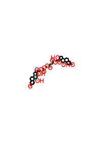 C[C@@H]1CC2C3CCC4=CC(=O)C=C[C@]4(C)[C@@]3(F)[C@@H](O)C[C@]2(C)[C@@]1(O)C(=O)COC(=O)OCOC(=O)CCC(=O)OCC(=O)[C@@]1(O)CCC2C3CCC4=CC(=O)C=C[C@]4(C)C3[C@@H](O)C[C@@]21C